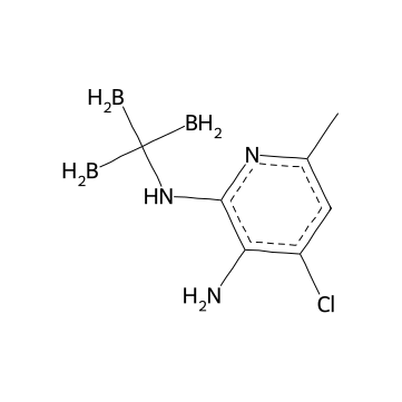 BC(B)(B)Nc1nc(C)cc(Cl)c1N